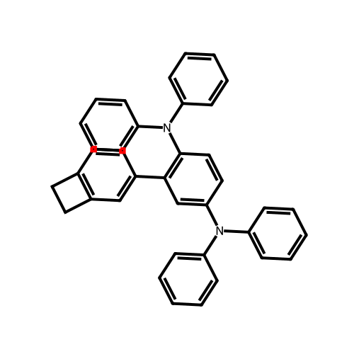 c1ccc(N(c2ccccc2)c2ccc(N(c3ccccc3)c3ccccc3)c(-c3ccc4c(c3)CC4)c2)cc1